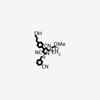 COC(=O)CN(C)c1nc(SCc2cccc(C#N)c2)c(C#N)c(-c2ccc(CCCO)cc2)c1C#N